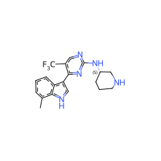 Cc1cccc2c(-c3nc(N[C@H]4CCCNC4)ncc3C(F)(F)F)c[nH]c12